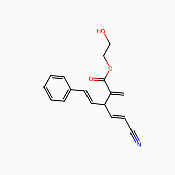 C=C(C(=O)OCCO)C(C=CC#N)C=Cc1ccccc1